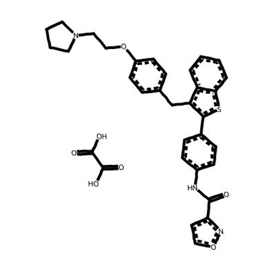 O=C(Nc1ccc(-c2sc3ccccc3c2Cc2ccc(OCCN3CCCC3)cc2)cc1)c1ccon1.O=C(O)C(=O)O